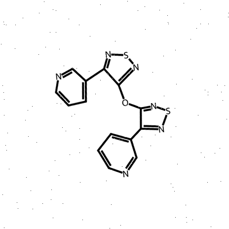 c1cncc(-c2nsnc2Oc2nsnc2-c2cccnc2)c1